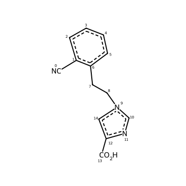 N#Cc1ccccc1CCn1cnc(C(=O)O)c1